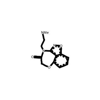 CNCCN1C(=O)COc2cccc3onc1c23